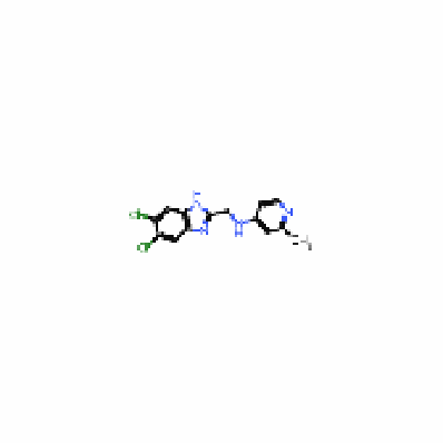 Cc1cc(NCc2nc3cc(Cl)c(Cl)cc3[nH]2)ccn1